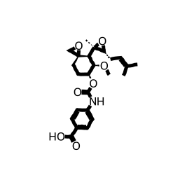 CO[C@@H]1[C@H](OC(=O)Nc2ccc(C(=O)O)cc2)CC[C@]2(CO2)[C@H]1[C@@]1(C)O[C@@H]1CC=C(C)C